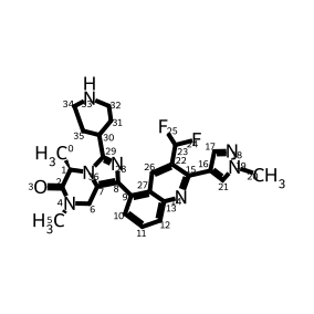 C[C@@H]1C(=O)N(C)Cc2c(-c3cccc4nc(-c5cnn(C)c5)c(C(F)F)cc34)nc(C3CCNCC3)n21